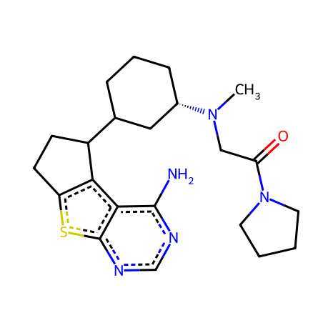 CN(CC(=O)N1CCCC1)[C@H]1CCCC(C2CCc3sc4ncnc(N)c4c32)C1